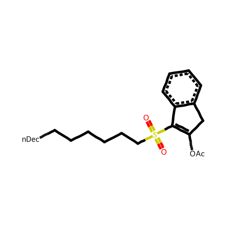 CCCCCCCCCCCCCCCCS(=O)(=O)C1=C(OC(C)=O)Cc2ccccc21